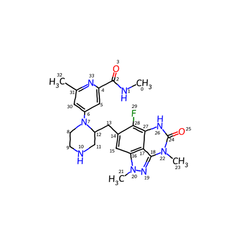 CNC(=O)c1cc(N2CCNCC2Cc2cc3c4c(nn3C)N(C)C(=O)Nc4c2F)cc(C)n1